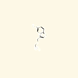 FC(F)(F)COCc1cnc2ccc(Br)cn12